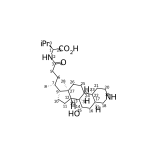 CC(C)[C@H](NC(=O)CC[C@@H](C)[C@H]1CC[C@H]2[C@@H]3[C@@H](O)C[C@@H]4CNCC[C@]4(C)[C@H]3CC[C@]12C)C(=O)O